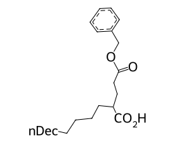 CCCCCCCCCCCCCCC(CCC(=O)OCc1ccccc1)C(=O)O